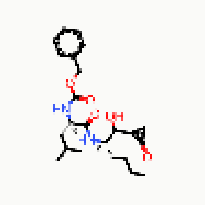 CCCC[C@H](NC(=O)[C@H](CC(C)C)NC(=O)OCc1ccccc1)C(O)c1cc1=O